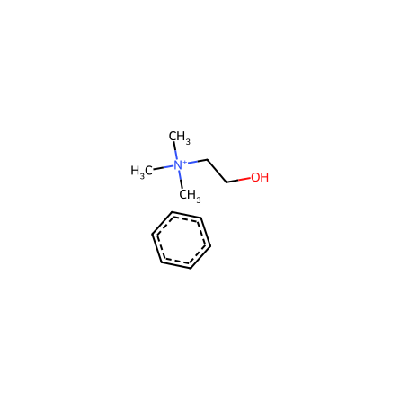 C[N+](C)(C)CCO.c1ccccc1